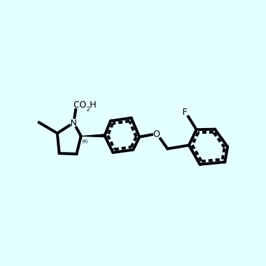 CC1CC[C@H](c2ccc(OCc3ccccc3F)cc2)N1C(=O)O